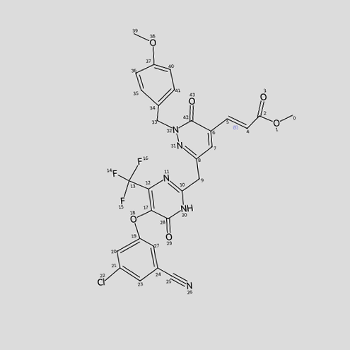 COC(=O)/C=C/c1cc(Cc2nc(C(F)(F)F)c(Oc3cc(Cl)cc(C#N)c3)c(=O)[nH]2)nn(Cc2ccc(OC)cc2)c1=O